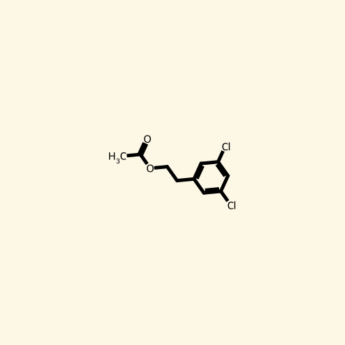 CC(=O)OCCc1cc(Cl)cc(Cl)c1